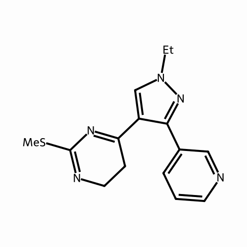 CCn1cc(C2=NC(SC)=NCC2)c(-c2cccnc2)n1